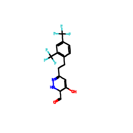 O=CC1NN=C(CCc2ccc(C(F)(F)F)cc2C(F)(F)F)C=C1O